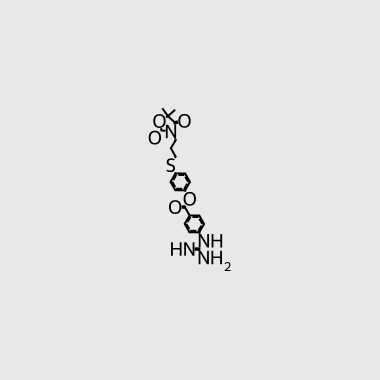 CC1(C)OC(=O)N(CCCSc2ccc(OC(=O)c3ccc(NC(=N)N)cc3)cc2)C1=O